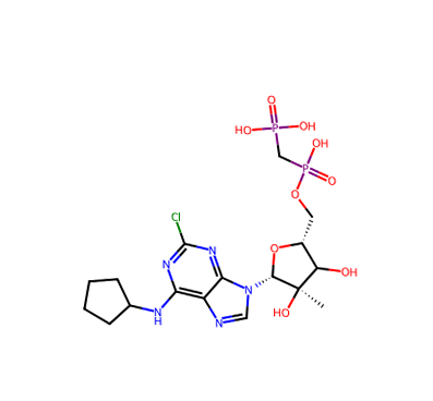 C[C@@]1(O)C(O)[C@@H](COP(=O)(O)CP(=O)(O)O)O[C@H]1n1cnc2c(NC3CCCC3)nc(Cl)nc21